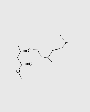 COC(=O)CC(C)=C=CCC(C)CCC(C)C